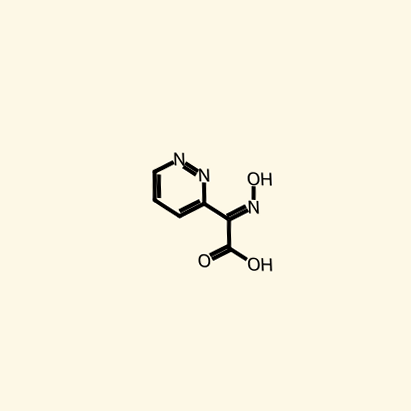 O=C(O)/C(=N/O)c1cccnn1